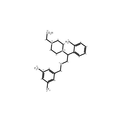 Nc1ccccc1C(COCc1cc(C(F)(F)F)cc(C(F)(F)F)c1)N1CCN(CC(=O)O)CC1